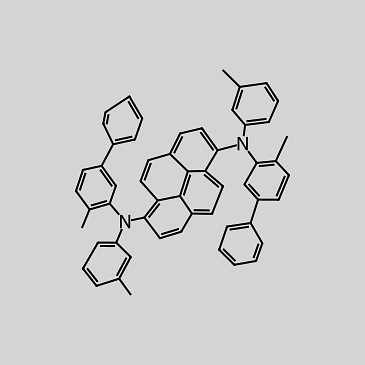 Cc1cccc(N(c2cc(-c3ccccc3)ccc2C)c2ccc3ccc4c(N(c5cccc(C)c5)c5cc(-c6ccccc6)ccc5C)ccc5ccc2c3c54)c1